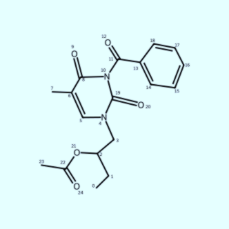 CCC(Cn1cc(C)c(=O)n(C(=O)c2ccccc2)c1=O)OC(C)=O